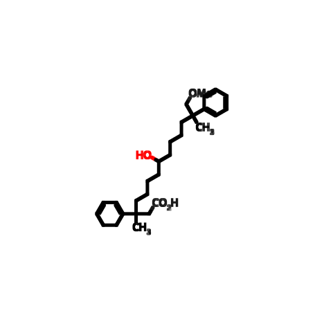 COCC(C)(CCCCC(O)CCCCC(C)(CC(=O)O)C1=CC=CCC1)c1ccccc1